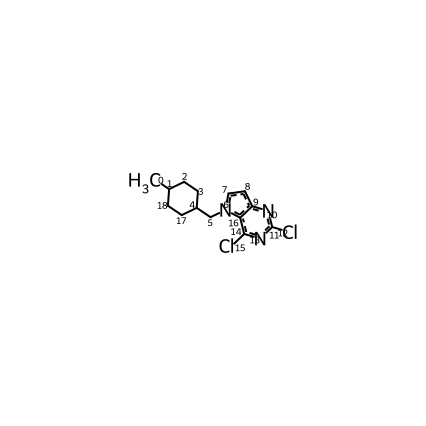 CC1CCC(Cn2ccc3nc(Cl)nc(Cl)c32)CC1